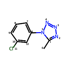 Cc1nnnn1-c1cccc(Cl)c1